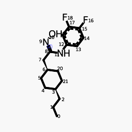 CCC[C@H]1CC[C@@H](C/C(=N/O)Nc2ccc(F)c(F)c2)CC1